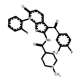 Cc1cc(C(=O)c2c(NC(=O)C3CCN(C)CC3)sc3c2ccc(=O)n3-c2ccccc2F)ccc1F